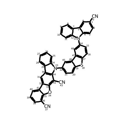 N#Cc1ccc2c(c1)c1ccccc1n2-c1ccc2sc3ccc(-n4c5ccccc5c5cc6c(oc7c(C#N)cccc76)c(C#N)c54)cc3c2c1